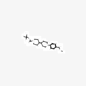 COC(=O)c1ccc(N2CCC(C3CCN(C(=O)OC(C)(C)C)CC3)CC2)cc1